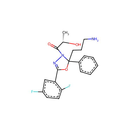 C[C@H](O)C(=O)N1N=C(c2cc(F)ccc2F)OC1(CCCN)c1ccccc1